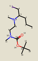 CCCC(CI)N(C)CCN(C)C(=O)OC(C)(C)C